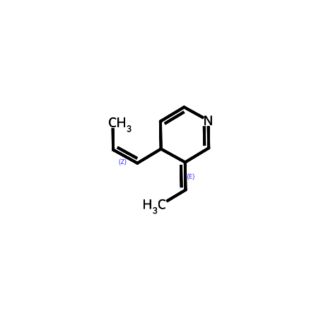 C/C=C\C1C=CN=C/C1=C/C